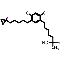 CCC(C)(C)CCCCCc1cc(CCCCCC2(I)CC2)c(C)cc1C